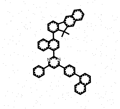 CC1(C)c2cc3ccccc3cc2-c2cccc(-c3ccc(-c4nc(-c5ccccc5)cc(-c5ccc(-c6cccc7ccccc67)cc5)n4)c4ccccc34)c21